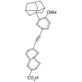 COc1ccc(C#Cc2ccc3cc(C(=O)O)ccc3c2)cc1C12CC3CC(CC(C3)C1)C2